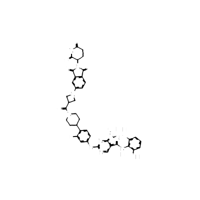 Cc1cccc(C)c1Nc1nn(C)c2nc(Nc3ccc(C4CCN(C(=O)C5CN(c6ccc7c(c6)C(=O)N(C6CCC(=O)NC6=O)C7=O)C5)CC4)c(F)c3)ncc12